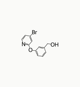 OCc1cccc(Oc2cc(Br)ccn2)c1